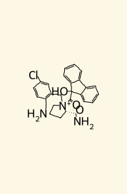 NCc1ccc(Cl)cc1C[N+]1(C(=O)C2(O)c3ccccc3-c3ccccc32)CCC[C@H]1C(N)=O